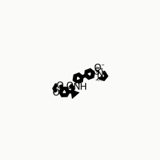 C[C@H]1CCCN1[S+]([O-])c1ccc(-c2cccc(NC(=O)C3(c4ccc5c(c4)OCCO5)CC3)c2)cc1